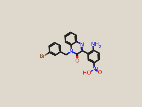 Nc1ccc([N+](=O)O)cc1-c1nc2ccccc2n(Cc2cccc(Br)c2)c1=O